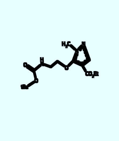 CCOC(=O)c1cnn(C)c1OCCNC(=O)OC(C)(C)C